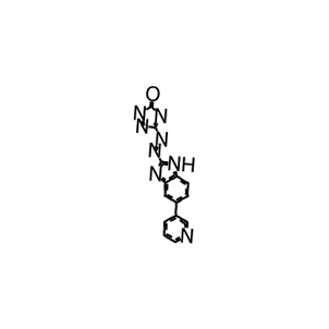 O=C1N=NC(N=Nc2nc3cc(-c4cccnc4)ccc3[nH]2)=N1